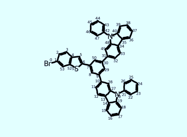 Brc1ccc2cc(-c3cc(-c4ccc5c6ccccc6n(-c6ccccc6)c5c4)cc(-c4ccc5c6ccccc6n(-c6ccccc6)c5c4)c3)sc2c1